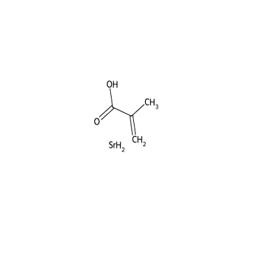 C=C(C)C(=O)O.[SrH2]